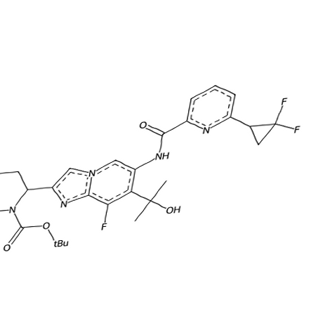 CC(C)(C)OC(=O)N1CCCCC1c1cn2cc(NC(=O)c3cccc(C4CC4(F)F)n3)c(C(C)(C)O)c(F)c2n1